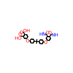 CNC(=O)c1ccc(Oc2ccc(C(C)(C)c3ccc(Oc4ccc(C(=O)O)c(C(=O)O)c4)cc3)cc2)cc1C(=O)NC